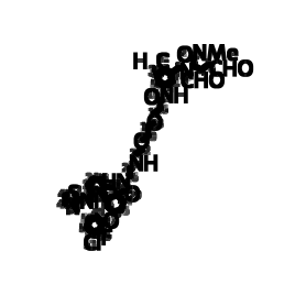 CNC(=O)C(CCC=O)N(C=O)Cc1cc(NC(=O)CCOCCOCCNCCNC(=O)[C@]2(Cc3cccc(NC4=NCCS4)n3)CC[C@@H](Oc3cccc(Cl)c3F)CC2)ccc1C